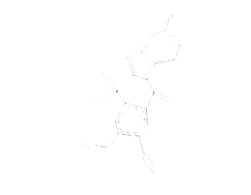 COc1cc2c(cc1C#N)C(=O)C1=C3CC=C(Br)C=C3N=C1C2(C)C